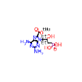 CCC(CC)([C@@H](O)CCP(=O)(O)O)n1c(C(=O)OC(C)(C)C)nc2c(N)nc(N)nc21